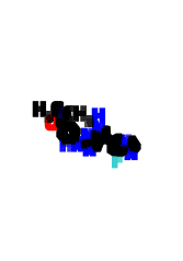 CN(C)C(=O)C1CCC(Nc2ncc3c(-c4cc(F)c5nccn5c4)c[nH]c3n2)CC1